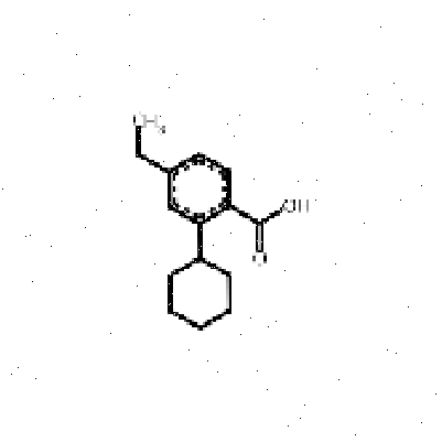 CCc1ccc(C(=O)O)c(C2CCCCC2)c1